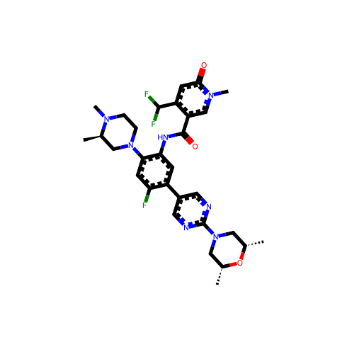 C[C@@H]1CN(c2ncc(-c3cc(NC(=O)c4cn(C)c(=O)cc4C(F)F)c(N4CCN(C)[C@H](C)C4)cc3F)cn2)C[C@H](C)O1